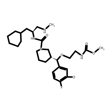 CNC[C@H](CC1CCCCC1)NC(=O)N1CCC[C@@H](C(OCCNC(=O)OC)c2ccc(F)c(Cl)c2)C1